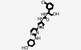 O=C(Nc1cnn(-c2ccnc(N[C@H]3CC[C@H](O)CC3)n2)c1)NC(CO)c1cccc(Cl)c1